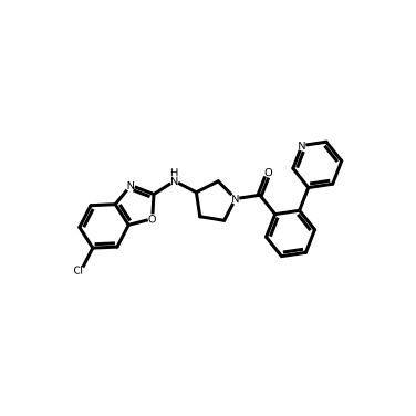 O=C(c1ccccc1-c1cccnc1)N1CCC(Nc2nc3ccc(Cl)cc3o2)C1